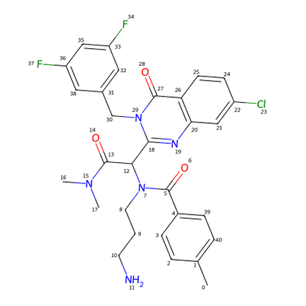 Cc1ccc(C(=O)N(CCCN)C(C(=O)N(C)C)c2nc3cc(Cl)ccc3c(=O)n2Cc2cc(F)cc(F)c2)cc1